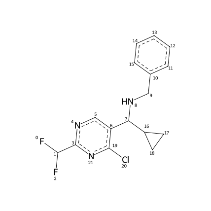 FC(F)c1ncc(C(NCc2ccccc2)C2CC2)c(Cl)n1